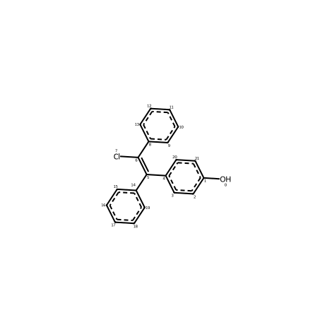 Oc1ccc(/C(=C(/Cl)c2ccccc2)c2ccccc2)cc1